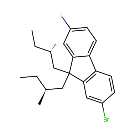 CC[C@H](C)CC1(C[C@@H](C)CC)c2cc(Br)ccc2-c2ccc(I)cc21